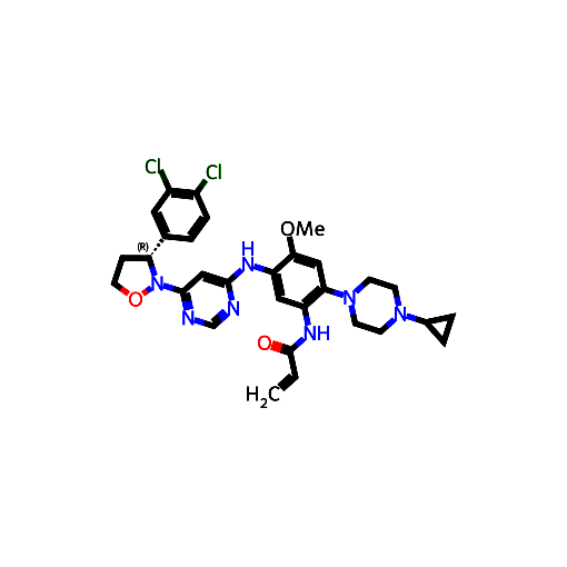 C=CC(=O)Nc1cc(Nc2cc(N3OCC[C@@H]3c3ccc(Cl)c(Cl)c3)ncn2)c(OC)cc1N1CCN(C2CC2)CC1